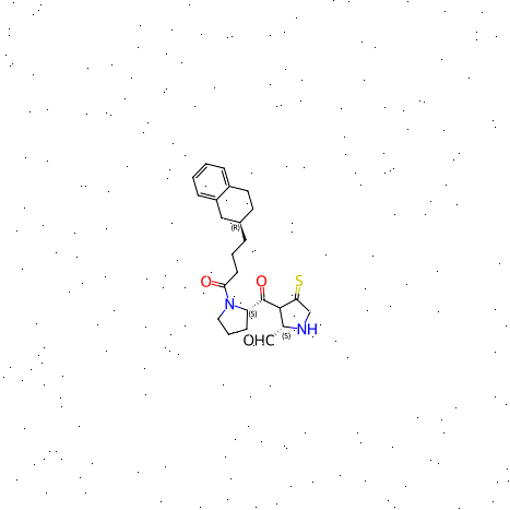 O=C[C@H]1NCC(=S)C1C(=O)[C@@H]1CCCN1C(=O)CCC[C@@H]1CCc2ccccc2C1